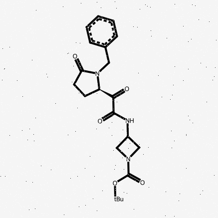 CC(C)(C)OC(=O)N1CC(NC(=O)C(=O)[C@H]2CCC(=O)N2Cc2ccccc2)C1